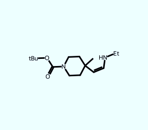 CCN/C=C\C1(C)CCN(C(=O)OC(C)(C)C)CC1